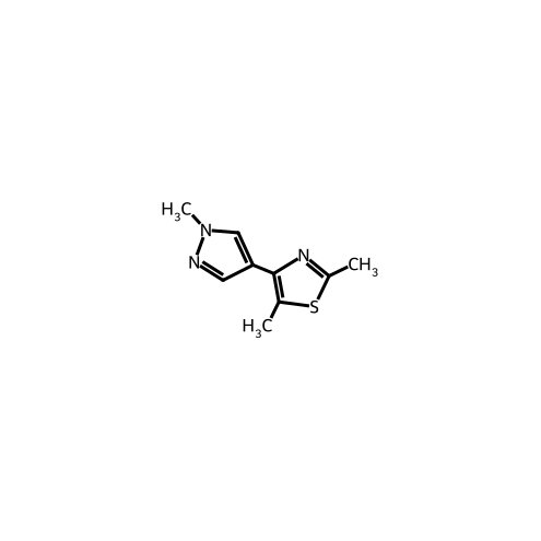 Cc1nc(-c2cnn(C)c2)c(C)s1